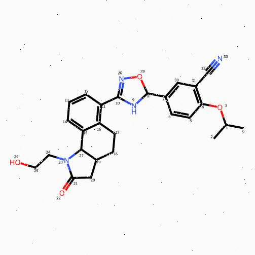 CC(C)Oc1ccc(C2NC(c3cccc4c3CCC3CC(=O)N(CCO)C43)=NO2)cc1C#N